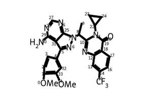 COc1ccc(-c2nn(C(C)c3nc4cc(C(F)(F)F)ccc4c(=O)n3C3CC3)c3ncnc(N)c23)cc1OC